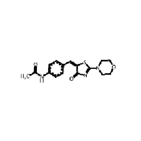 CC(=O)Nc1ccc(/C=C2/SC(N3CCOCC3)=NC2=O)cc1